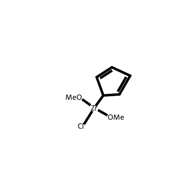 C[O][Zr]([Cl])([O]C)[CH]1C=CC=C1